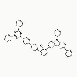 c1ccc(-c2ccc3c(c2)c2cc(-c4cccc5c4oc4cc(-c6ccc(-c7nc(-c8ccccc8)nc(-c8ccccc8)n7)cc6)ccc45)ccc2n3-c2ccccc2)cc1